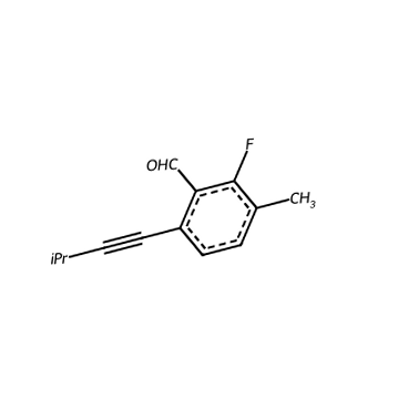 Cc1ccc(C#CC(C)C)c(C=O)c1F